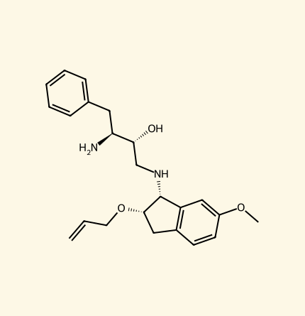 C=CCO[C@H]1Cc2ccc(OC)cc2[C@H]1NC[C@@H](O)[C@@H](N)Cc1ccccc1